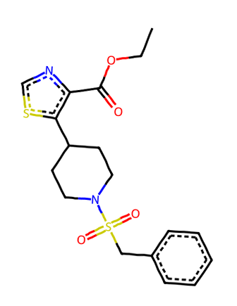 CCOC(=O)c1ncsc1C1CCN(S(=O)(=O)Cc2ccccc2)CC1